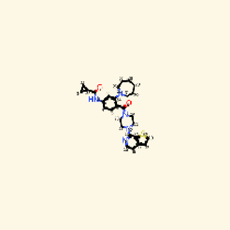 O=C(Nc1ccc(C(=O)N2CCN(c3nccc4ccsc34)CC2)c(N2CCCCCC2)c1)C1CC1